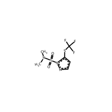 CN(C)S(=O)(=O)n1nccc1SC(F)(F)F